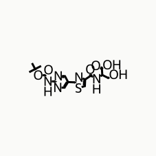 CC(C)(C)OC(=O)Nc1ncc(-c2nc(C(=O)NC(CO)C(=O)O)cs2)cn1